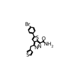 NC(=O)c1nnc(Cc2ccsc2)c2cc(-c3ccc(Br)cc3)sc12